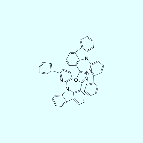 c1ccc(-c2cccc(-n3c4ccccc4c4cccc(-c5nnc(-c6cccc7c8ccccc8n(-c8cccc(-c9ccccc9)n8)c67)o5)c43)n2)cc1